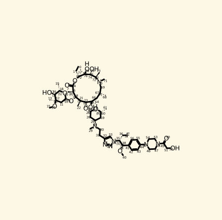 CC[C@H]1OC(=O)[C@H](C)[C@@H](O[C@H]2C[C@@](C)(OC)[C@@H](O)[C@H](C)O2)[C@H](C)[C@@H](O[C@H]2C[C@@H](N(C)CCc3cn([C@H](CF)[C@H](OC)c4ccc(N5CCN(C(=O)CO)CC5)cc4)nn3)C[C@@H](C)O2)[C@](C)(O)C[C@@H](C)CN(C)[C@H](C)[C@@H](O)[C@]1(C)O